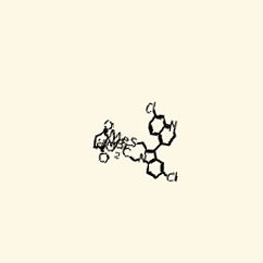 CSCc1c(-c2ccnc3cc(Cl)ccc23)c2cc(Cl)ccc2n1CC(=O)O.O=C1CCC(=O)N1Br